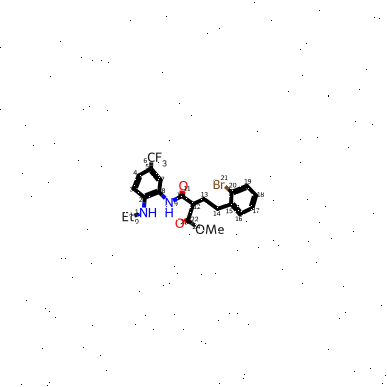 CCNc1ccc(C(F)(F)F)cc1NC(=O)C(CCc1ccccc1Br)C(=O)OC